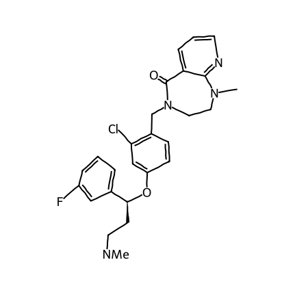 CNCC[C@H](Oc1ccc(CN2CCN(C)c3ncccc3C2=O)c(Cl)c1)c1cccc(F)c1